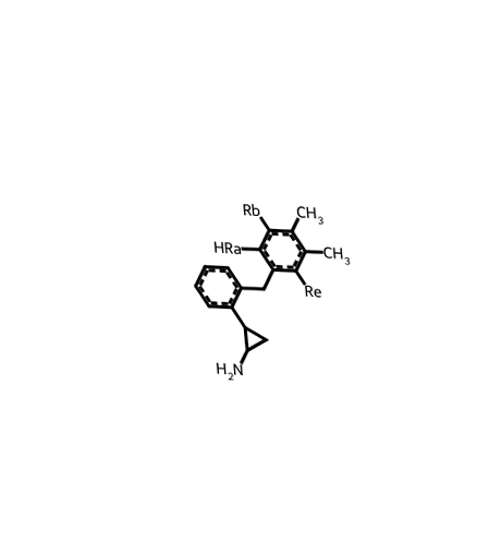 Cc1c(C)[c]([Re])c(Cc2ccccc2C2CC2N)[c]([RaH])[c]1[Rb]